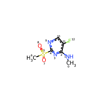 CNc1nc(S(C)(=O)=O)ncc1F